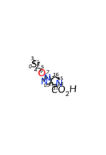 C[Si](C)(C)CCOCn1ncc2c(C(=O)O)nccc21